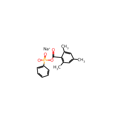 Cc1cc(C)c(C(=O)OP(=O)([O-])c2ccccc2)c(C)c1.[Na+]